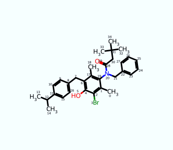 Cc1c(Br)c(O)c(Cc2ccc(C(C)C)cc2)c(C)c1N(Cc1ccccc1)C(=O)CC(C)(C)C